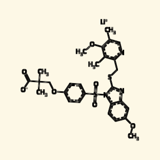 COc1ccc2c(c1)nc(SCc1ncc(C)c(OC)c1C)n2S(=O)(=O)c1ccc(OCC(C)(C)C(=O)[O-])cc1.[Li+]